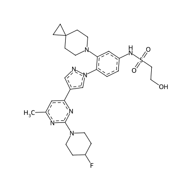 Cc1cc(-c2cnn(-c3ccc(NS(=O)(=O)CCO)cc3N3CCC4(CC3)CC4)c2)nc(N2CCC(F)CC2)n1